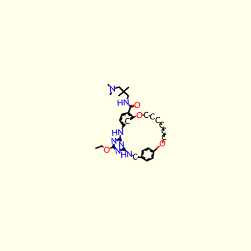 CCOc1nc2nc(n1)Nc1ccc(C(=O)NCC(C)(C)CN(C)C)c(c1)OCCCCCCOc1ccc(cc1)CN2